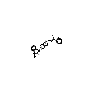 N[C@@H](CCN1CC2CN(C(=O)c3ccccc3C(F)(F)F)CC2C1)c1ccccc1